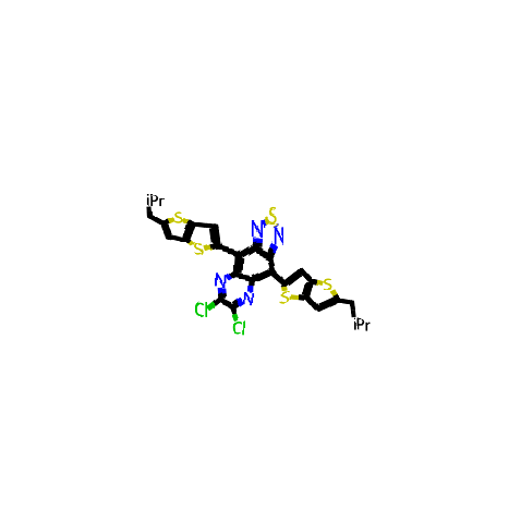 CC(C)Cc1cc2sc(-c3c4nsnc4c(-c4cc5sc(CC(C)C)cc5s4)c4nc(Cl)c(Cl)nc34)cc2s1